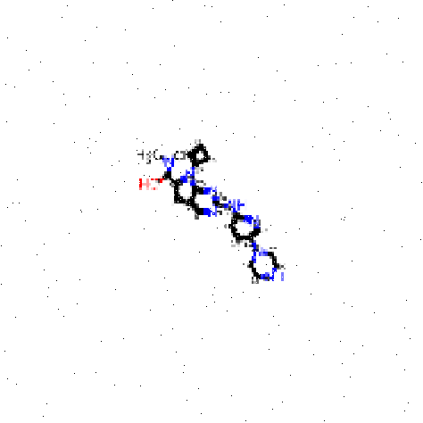 CN(C)C(O)c1cc2cnc(Nc3ccc(N4CCNCC4)cn3)nc2n1C12CC(C1)C2